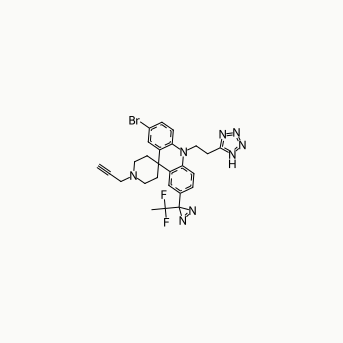 C#CCN1CCC2(CC1)c1cc(Br)ccc1N(CCc1nnn[nH]1)c1ccc(C3(C(C)(F)F)N=N3)cc12